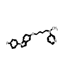 CN(CCCCOc1ccc2c(ccn2-c2ccc(F)cc2)c1)c1cccnc1